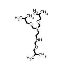 CC(C)COCNCCN(COCC(C)C)COCC(C)C